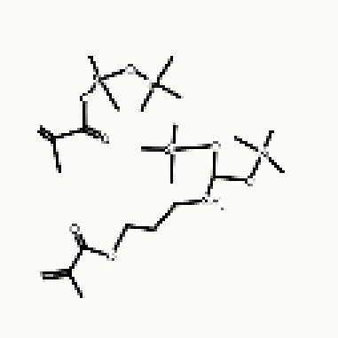 C=C(C)C(=O)OCCC[SiH2]C(O[Si](C)(C)C)O[Si](C)(C)C.C=C(C)C(=O)O[Si](C)(C)O[Si](C)(C)C